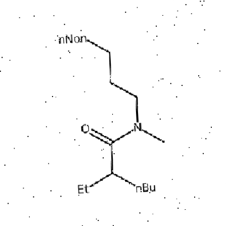 CCCCCCCCCCCCN(C)C(=O)C(CC)CCCC